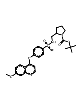 COc1ccc2c(Oc3ccc(S(=N)(=O)NCC4CCCN4C(=O)OC(C)(C)C)cc3)ccnc2c1